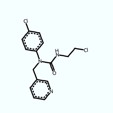 O=C(NCCCl)N(Cc1cccnc1)c1ccc(Cl)cc1